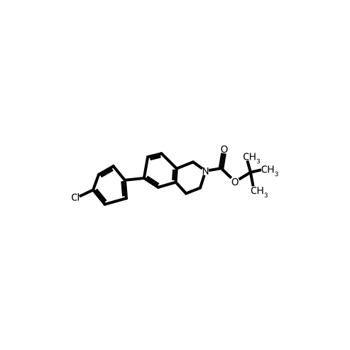 CC(C)(C)OC(=O)N1CCc2cc(-c3ccc(Cl)cc3)ccc2C1